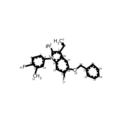 C=Cc1c(C(C)C)n(-c2ccc(F)c(C)c2)c2cc(F)c(OCc3ccccc3)cc12